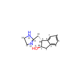 O[C@@H]1Cc2ccccc2[C@H]1CC1=NCCN1